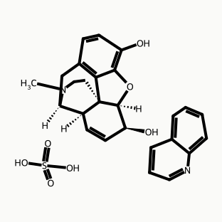 CN1CC[C@]23c4c5ccc(O)c4O[C@H]2[C@@H](O)C=C[C@H]3[C@H]1C5.O=S(=O)(O)O.c1ccc2ncccc2c1